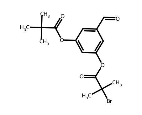 CC(C)(C)C(=O)Oc1cc(C=O)cc(OC(=O)C(C)(C)Br)c1